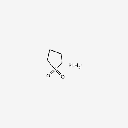 O=S1(=O)CCCC1.[PbH2]